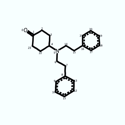 O=C1CCC(N(CCc2ccccc2)CCc2ccccc2)CC1